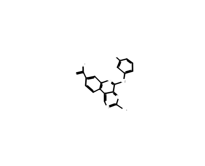 Cc1cccc(Nc2nc3cc(C(=O)O)ccc3c3cnc(O)nc23)c1